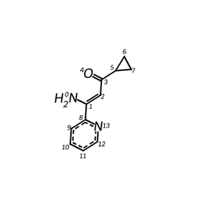 NC(=CC(=O)C1CC1)c1ccccn1